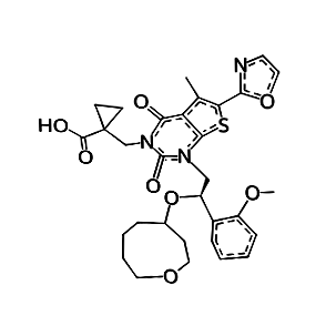 COc1ccccc1[C@H](Cn1c(=O)n(CC2(C(=O)O)CC2)c(=O)c2c(C)c(-c3ncco3)sc21)OC1CCCCOCC1